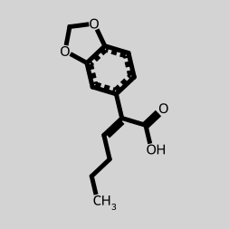 CCCC=C(C(=O)O)c1ccc2c(c1)OCO2